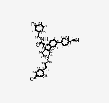 N#Cc1ccc(-c2ccc3c(c2)c2c(n3C(=O)NCc3ccnc(F)c3)CCN(CC=Cc3ccc(Cl)cc3)C2)cn1